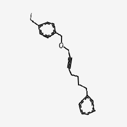 ICc1ccc(COCC#CCCCCc2ccccc2)cc1